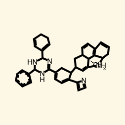 C[C@]12C3=CC(C4CC(C5=NC(C6=CCCC=C6)NC(c6ccccc6)N5)=CC=C4C4=CC=N4)CC1C=CC1=C2C(CC=C1)N3